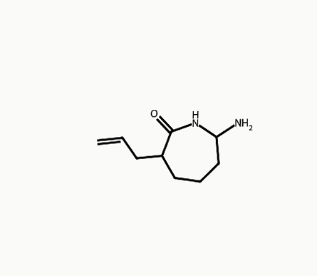 C=CCC1CCCC(N)NC1=O